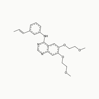 CC=Cc1cccc(Nc2ncnc3cc(OCCOC)c(OCCOC)cc23)c1